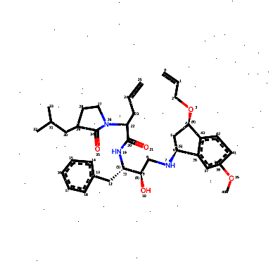 C=CCO[C@@H]1C[C@H](NC[C@@H](O)[C@H](Cc2ccccc2)NC(=O)C(CC=C)N2CCC(CC(C)C)C2=O)c2cc(OC)ccc21